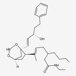 CCCCC(CC=C(C)[C@H]1C[C@@H]2C[C@@]1(/C=C/[C@@H](O)CCc1ccccc1)OBO2)CC(=O)NCC